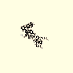 CCOC(=O)C(COC(=O)Cc1ccc(NC(=O)c2ccccc2-c2ccc(C(F)(F)F)cc2)c(C(=O)N(C)OC)c1)(C(=O)OCC)c1ccccc1